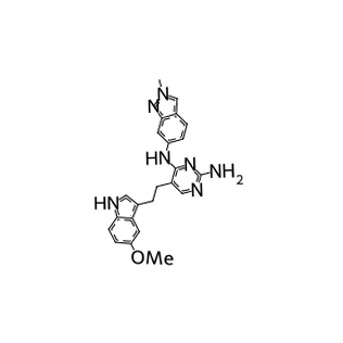 COc1ccc2[nH]cc(CCc3cnc(N)nc3Nc3ccc4cn(C)nc4c3)c2c1